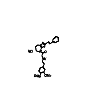 COc1ccc(CCNCC(=O)N2CCCCc3nc(C=Cc4ccccc4)sc32)cc1OC.Cl